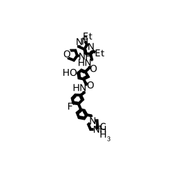 CCc1nc2c(cnn2CC)c(NC2CCOCC2)c1CNC(=O)c1cc(O)cc(C(=O)NCc2ccc(F)c(-c3cccc(CN4CCN[C@@H](C)C4)c3)c2)c1